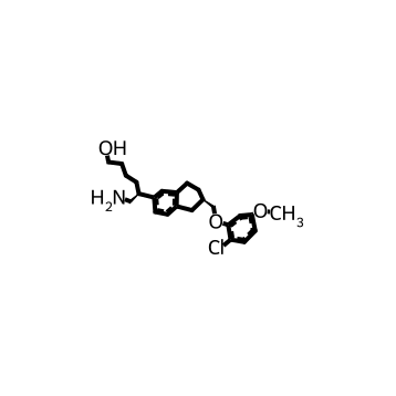 COc1ccc(Cl)c(OC[C@@H]2CCc3cc([C@@H](CN)CCCCO)ccc3C2)c1